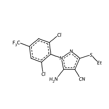 CCSc1nn(-c2c(Cl)cc(C(F)(F)F)cc2Cl)c(N)c1C#N